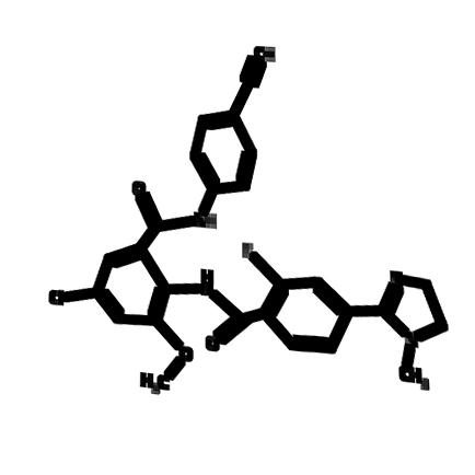 C#Cc1ccc(NC(=O)c2cc(Cl)cc(OC)c2NC(=O)c2ccc(C3=NCCN3C)cc2F)cc1